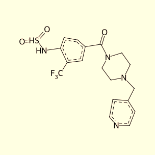 O=C(c1ccc(N[SH](=O)=O)c(C(F)(F)F)c1)N1CCN(Cc2ccncc2)CC1